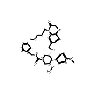 COCCCN1C(=O)COc2ccc(CO[C@H]3CN(C(=O)OCc4ccccc4)C[C@@H](CO)[C@@H]3c3ccc(OC)cc3)cc21